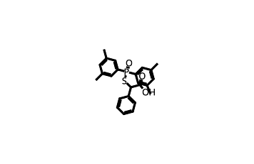 Cc1cc(C)cc(P(=O)(SC(C(=O)O)c2ccccc2)c2cc(C)cc(C)c2)c1